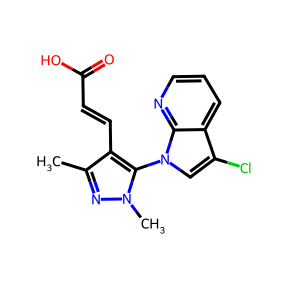 Cc1nn(C)c(-n2cc(Cl)c3cccnc32)c1C=CC(=O)O